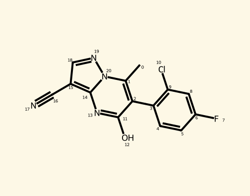 Cc1c(-c2ccc(F)cc2Cl)c(O)nc2c(C#N)cnn12